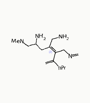 C=NC/C(C(=C)CCC)=C(\CN)CC(N)CNC